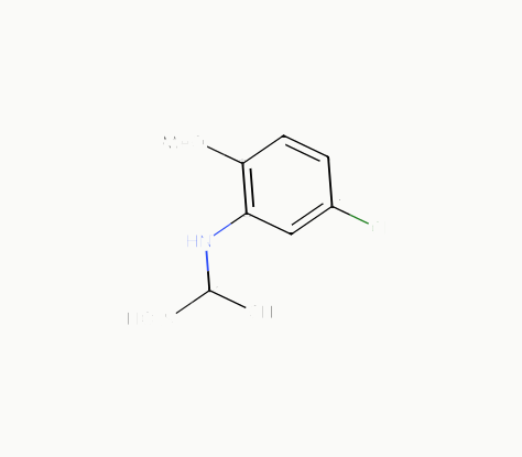 COc1ccc(Cl)cc1NC(C)S(=O)(=O)O